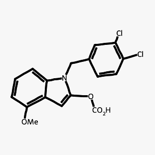 COc1cccc2c1cc(OC(=O)O)n2Cc1ccc(Cl)c(Cl)c1